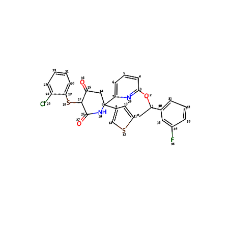 CC(Oc1cccc(C2(c3ccsc3)CC(=O)C(Sc3ccccc3Cl)C(=O)N2)n1)c1cccc(F)c1